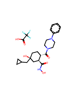 O=C(NO)[C@H]1C[C@](O)(CC2CC2)CC[C@@H]1C(=O)N1CCN(c2ccccc2)CC1.O=C(O)C(F)(F)F